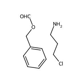 NCCCCl.O=COCc1ccccc1